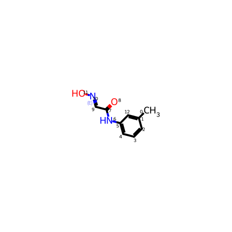 Cc1cccc(NC(=O)/C=N/O)c1